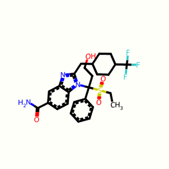 CCS(=O)(=O)C(CCO)(c1ccccc1)n1c(CC2CCC(C(F)(F)F)CC2)nc2cc(C(N)=O)ccc21